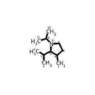 CC(C)C1C(C)CCN1C(C)C